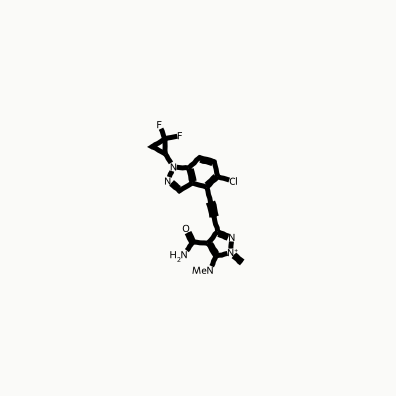 C=[N+]1N=C(C#Cc2c(Cl)ccc3c2cnn3C2CC2(F)F)C(C(N)=O)=C1NC